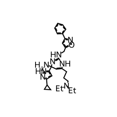 CCN(CC)CCCC1=CC(N)(c2cc(C3CC3)n[nH]2)N=C(NCc2cc(-c3ccccc3)no2)N1